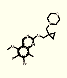 COc1c(F)c(Br)c(F)c2nc(OCC3(CN4CCOCC4)CC3)ncc12